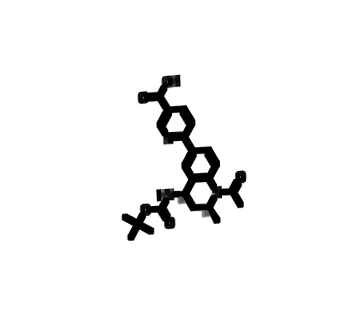 CC(=O)N1c2ccc(-c3ccc(C(=O)O)cn3)cc2[C@H](NC(=O)OC(C)(C)C)C[C@@H]1C